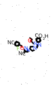 N#Cc1ccc(COc2nn(C3CCN(Cc4nc5ccc(C(=O)O)cc5n4CC4CCO4)CC3)cc2C#N)c(F)c1